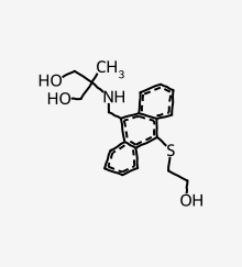 CC(CO)(CO)NCc1c2ccccc2c(SCCO)c2ccccc12